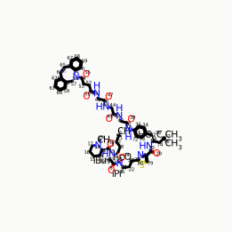 C#CCCCON(C(=O)[C@@H](NC(=O)[C@H]1CCCCN1C)[C@@H](C)CC)[C@H](C[C@@H](OC(C)=O)c1nc(C(=O)N[C@@H](Cc2ccc(NC(=O)CNC(=O)CNC(=O)CNC(=O)CCC(=O)N3Cc4ccccc4/C=C\c4ccccc43)cc2)CC(C)(C)C(=O)O)cs1)C(C)C